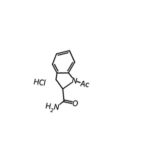 CC(=O)N1c2ccccc2CC1C(N)=O.Cl